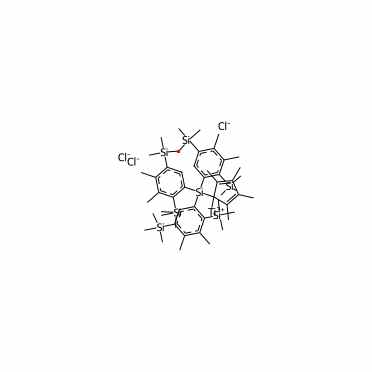 CC1=C(C)[C]([Ti+3])([Si](c2cc([Si](C)(C)C)c(C)c(C)c2[Si](C)(C)C)(c2cc([Si](C)(C)C)c(C)c(C)c2[Si](C)(C)C)c2cc([Si](C)(C)C)c(C)c(C)c2[Si](C)(C)C)C(C)=C1C.[Cl-].[Cl-].[Cl-]